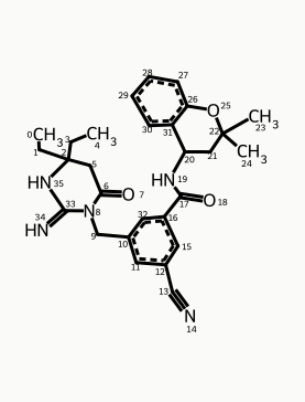 CCC1(CC)CC(=O)N(Cc2cc(C#N)cc(C(=O)NC3CC(C)(C)Oc4ccccc43)c2)C(=N)N1